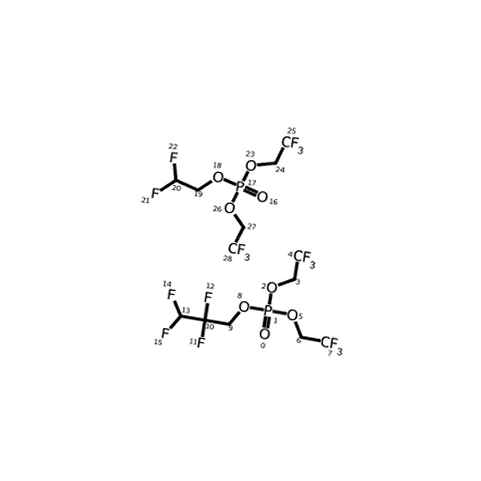 O=P(OCC(F)(F)F)(OCC(F)(F)F)OCC(F)(F)C(F)F.O=P(OCC(F)F)(OCC(F)(F)F)OCC(F)(F)F